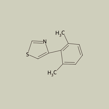 Cc1cccc(C)c1-c1cscn1